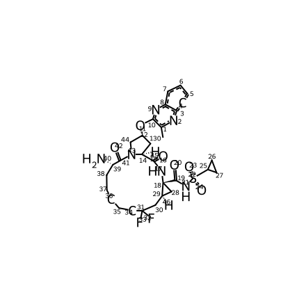 Cc1nc2ccccc2nc1O[C@@H]1C[C@H]2C(=O)N[C@]3(C(=O)NS(=O)(=O)C4CC4)C[C@H]3CC(F)(F)CCCCC[C@H](N)C(=O)N2C1